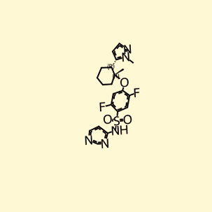 Cn1nccc1[C@H]1CCCC[C@@]1(C)Oc1cc(F)c(S(=O)(=O)Nc2ccncn2)cc1F